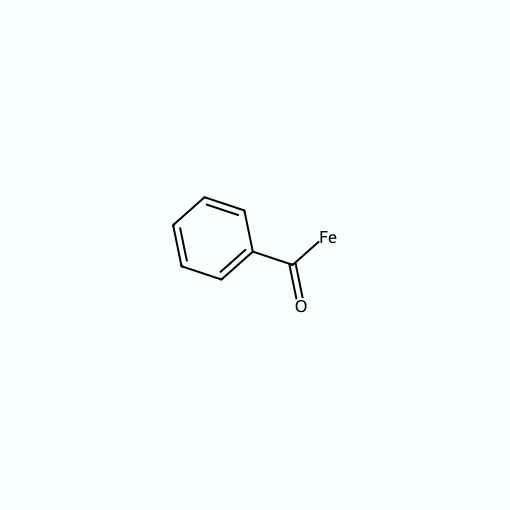 O=[C]([Fe])c1ccccc1